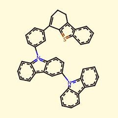 C1=C(c2cccc(-n3c4ccccc4c4cc(-n5c6ccccc6c6ccccc65)ccc43)c2)c2sc3ccccc3c2CC1